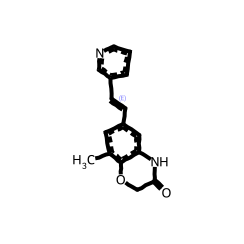 Cc1cc(/C=C/c2cccnc2)cc2c1OCC(=O)N2